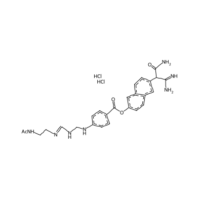 CC(=O)NCCN=CNCNc1ccc(C(=O)Oc2ccc3cc(C(C(=N)N)C(N)=O)ccc3c2)cc1.Cl.Cl